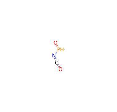 O=C=N[PH]=O